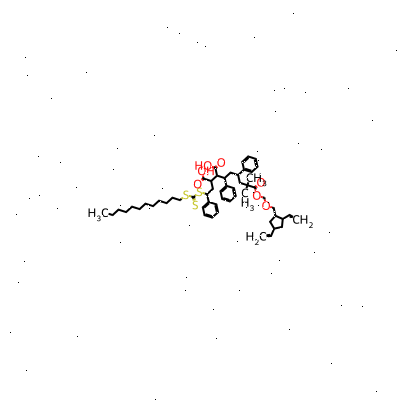 C=CC1CC(C=C)C(COCOC(=O)C(C)(C)CC(CC(c2ccccc2)C(C(=O)O)C(CC(SC(=S)SCCCCCCCCCCCC)c2ccccc2)C(=O)O)c2ccccc2)C1